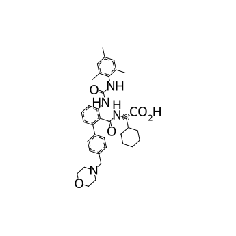 Cc1cc(C)c(NC(=O)Nc2cccc(-c3ccc(CN4CCOCC4)cc3)c2C(=O)N[C@H](C(=O)O)C2CCCCC2)c(C)c1